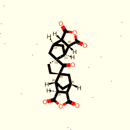 O=C1OC(=O)[C@@H]2C1[C@@H]1C[C@H]2[C@@]2(CC[C@@]3(C[C@@H]4C[C@H]3[C@H]3C(=O)OC(=O)[C@@H]43)C2=O)C1